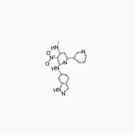 CNc1cc(-c2cccnc2)nc(Nc2ccc3cn[nH]c3c2)c1[N+](=O)[O-]